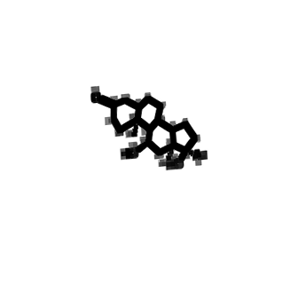 CC(=O)[C@@]1(O)CCC2C3CCC4CC(=O)CC[C@]4(C)C3[C@H](O)C[C@@]21C